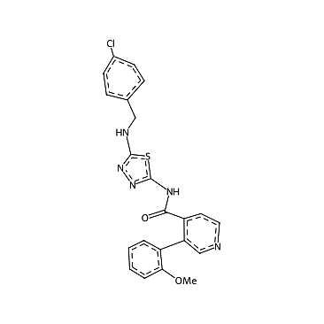 COc1ccccc1-c1cnccc1C(=O)Nc1nnc(NCc2ccc(Cl)cc2)s1